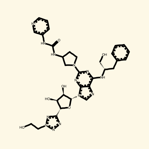 O=C(Nc1cccnc1)NC1CCN(c2nc(N[C@H](CO)Cc3ccccc3)c3ncn([C@@H]4O[C@H](c5nnn(CCO)n5)[C@@H](O)[C@H]4O)c3n2)C1